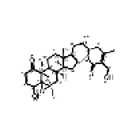 CC1=C(CO)C(=O)O[C@@H]([C@@H](C)CC2CC[C@H]3[C@@H]4C[C@H]5O[C@]56[C@@H](O)C=CC(=O)[C@]6(C)[C@H]4CC[C@]23C)C1